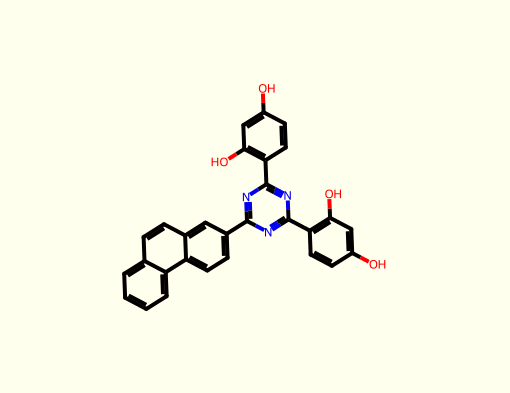 Oc1ccc(-c2nc(-c3ccc4c(ccc5ccccc54)c3)nc(-c3ccc(O)cc3O)n2)c(O)c1